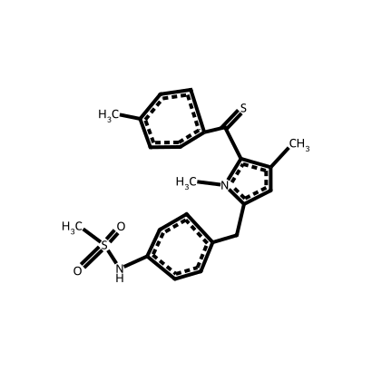 Cc1ccc(C(=S)c2c(C)cc(Cc3ccc(NS(C)(=O)=O)cc3)n2C)cc1